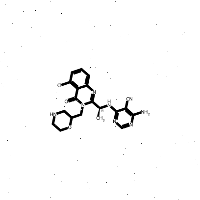 C[C@H](Nc1ncnc(N)c1C#N)c1nc2cccc(Cl)c2c(=O)n1CC1CNCCO1